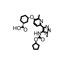 Cc1nc(-c2nnn(C)c2NC(=O)OC2CCCC2)ccc1O[C@H]1CCC[C@H](C(=O)O)C1